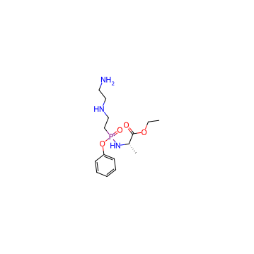 CCOC(=O)[C@H](C)NP(=O)(CCNCCN)Oc1ccccc1